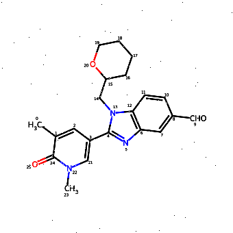 Cc1cc(-c2nc3cc(C=O)ccc3n2CC2CCCCO2)cn(C)c1=O